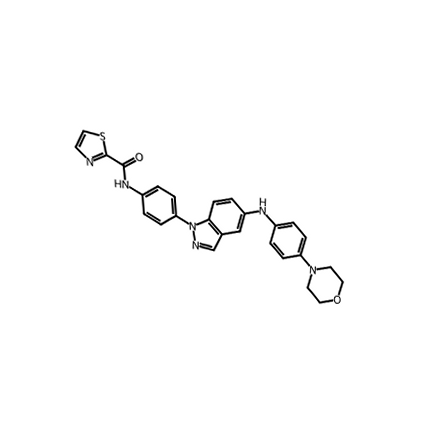 O=C(Nc1ccc(-n2ncc3cc(Nc4ccc(N5CCOCC5)cc4)ccc32)cc1)c1nccs1